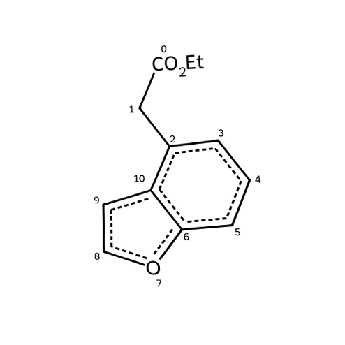 CCOC(=O)Cc1cccc2occc12